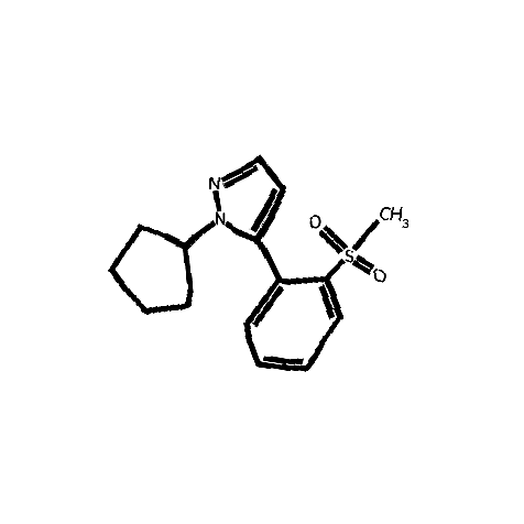 CS(=O)(=O)c1ccccc1-c1ccnn1C1CCCC1